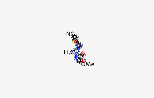 COC(=O)c1ccc2nc(CN3CCN(c4cncc(OCc5ccc(C#N)cc5F)n4)CC3C)n(CC3CCO3)c2c1